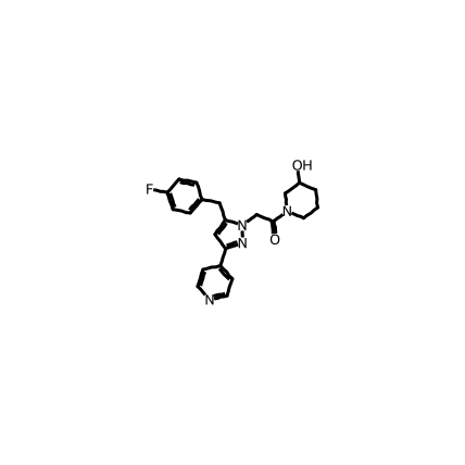 O=C(Cn1nc(-c2ccncc2)cc1Cc1ccc(F)cc1)N1CCCC(O)C1